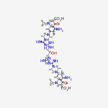 N=C(NCC(O)CNC(=N)NC(=N)N1CCN(c2cc3c(c(N)c2F)c(=O)c(C(=O)O)cn3C2CC2)CC1)NC(=N)N1CCN(c2cc3c(c(N)c2F)c(=O)c(C(=O)O)cn3C2CC2)CC1